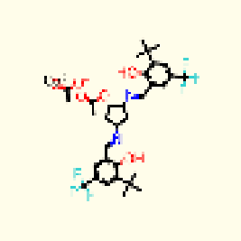 CC(=O)[O-].CC(=O)[O-].CC(C)(C)c1cc(C(F)(F)F)cc(C=NC2CCC(N=Cc3cc(C(F)(F)F)cc(C(C)(C)C)c3O)C2)c1O.[Co+2]